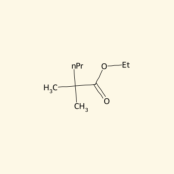 CCCC(C)(C)C(=O)OCC